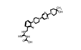 CC1(O)CCN(c2ncc(N3CCN(c4cccc(CNC(=N)NC(=O)O)c4F)CC3)cn2)CC1